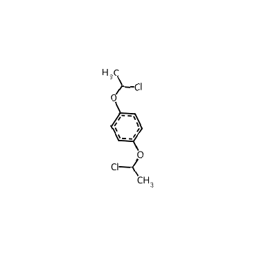 CC(Cl)Oc1ccc(OC(C)Cl)cc1